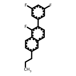 CCCc1ccc2c(F)c(-c3cc(F)cc(F)c3)ccc2c1